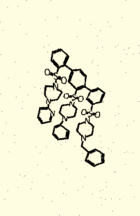 O=S(=O)(c1[c]ccc(-c2ccc(-c3ccccc3S(=O)(=O)N3CCN(c4ccccn4)CC3)cc2S(=O)(=O)N2CCN(c3ccccc3)CC2)c1)N1CCN(Cc2ccccc2)CC1